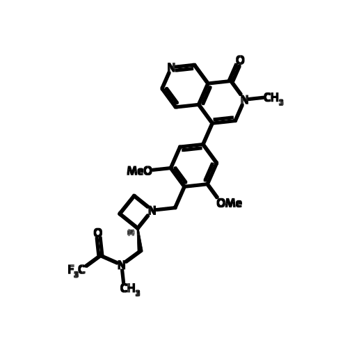 COc1cc(-c2cn(C)c(=O)c3cnccc23)cc(OC)c1CN1CC[C@@H]1CN(C)C(=O)C(F)(F)F